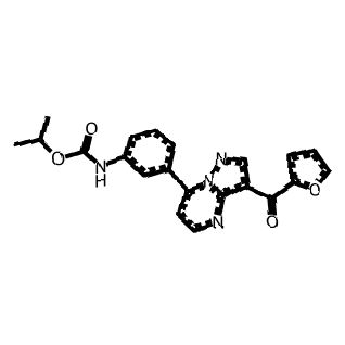 CC(C)OC(=O)Nc1cccc(-c2ccnc3c(C(=O)c4ccco4)cnn23)c1